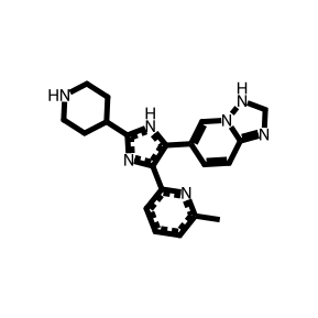 Cc1cccc(-c2nc(C3CCNCC3)[nH]c2C2=CN3NCN=C3C=C2)n1